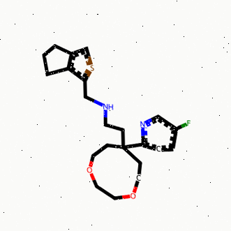 Fc1ccc(C2(CCNCc3scc4c3CCC4)CCOCCOCC2)nc1